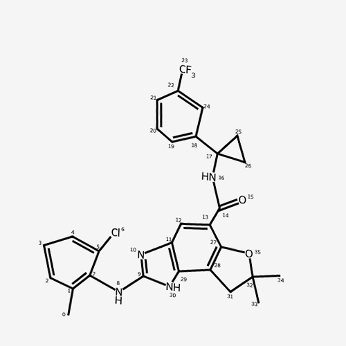 Cc1cccc(Cl)c1Nc1nc2cc(C(=O)NC3(c4cccc(C(F)(F)F)c4)CC3)c3c(c2[nH]1)CC(C)(C)O3